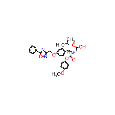 COc1ccc(OC(=O)N(CC(=O)O)[C@@H](CC(C)C)c2ccc(OCc3noc(-c4ccccc4)n3)cc2)cc1